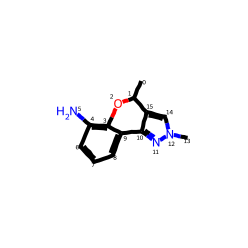 CC1Oc2c(N)cccc2-c2nn(C)cc21